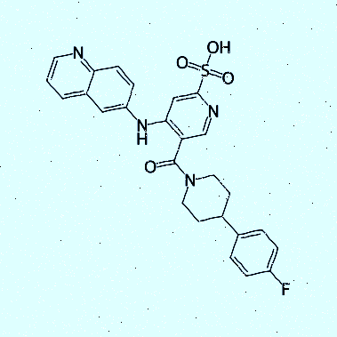 O=C(c1cnc(S(=O)(=O)O)cc1Nc1ccc2ncccc2c1)N1CCC(c2ccc(F)cc2)CC1